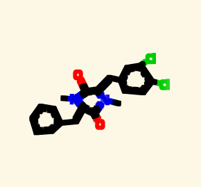 Cn1c(=O)c(=Cc2ccc(Cl)c(Cl)c2)n(C)c(=O)c1=Cc1ccccc1